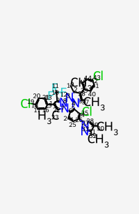 CCc1nn(-c2c(-n3nc(C(F)(F)F)c(-c4ccc(Cl)cc4)c3C)[c]cc(-n3cc(C)c(C)n3)c2Cl)c(C)c1-c1ccc(Cl)cc1